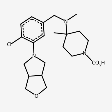 CN(Cc1ccc(Cl)c(N2CC3COCC3C2)c1)C1(C)CCN(C(=O)O)CC1